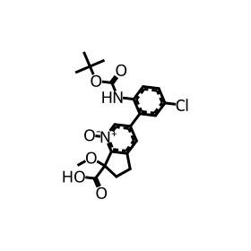 COC1(C(=O)O)CCc2cc(-c3cc(Cl)ccc3NC(=O)OC(C)(C)C)c[n+]([O-])c21